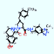 COc1ccc(CC2CC(C(=O)NCc3ccc4c(c3)nnn4C)N(C(=O)C3NCCc4cc(O)ccc43)C2)cc1